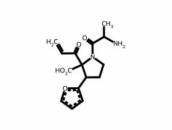 C=CC(=O)C1(C(=O)O)C(c2ccco2)CCN1C(=O)C(C)N